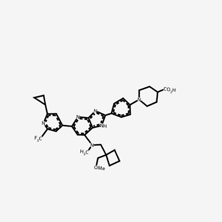 COCC1(CN(C)c2cc(-c3cc(C4CC4)nc(C(F)(F)F)c3)nc3nc(-c4ccc(N5CCC(C(=O)O)CC5)cc4)[nH]c23)CCC1